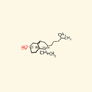 CC[C@H]1[C@H](CCCC(C)C)CC=C2C[C@@H](O)CC[C@@]21C